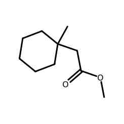 COC(=O)CC1(C)CCCCC1